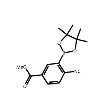 [C-]#[N+]c1ccc(C(=O)OC)cc1B1OC(C)(C)C(C)(C)O1